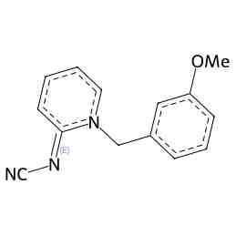 COc1cccc(Cn2cccc/c2=N\C#N)c1